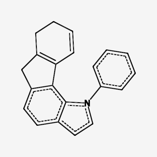 C1=CC2=C(CC1)Cc1ccc3ccn(-c4ccccc4)c3c12